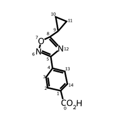 O=C(O)c1ccc(-c2noc(C3CC3)n2)cc1